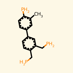 Cc1cc(-c2ccc(CP)c(CP)c2)ccc1P